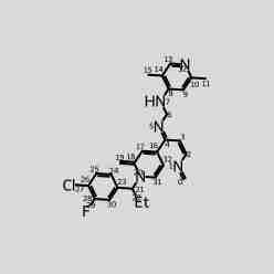 C=N/C=C\C(=N/CNc1cc(C)ncc1C)C1=CC(=C)N(C(CC)c2ccc(Cl)c(F)c2)C=C1